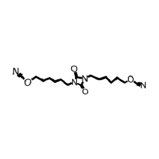 N#COCCCCCCN1C(=O)N(CCCCCCOC#N)C1=O